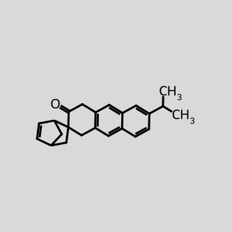 CC(C)c1ccc2cc3c(cc2c1)CC(=O)C1(C3)CC2C=CC1C2